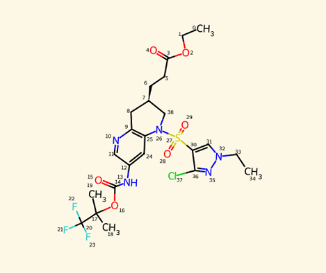 CCOC(=O)CC[C@@H]1Cc2ncc(NC(=O)OC(C)(C)C(F)(F)F)cc2N(S(=O)(=O)c2cn(CC)nc2Cl)C1